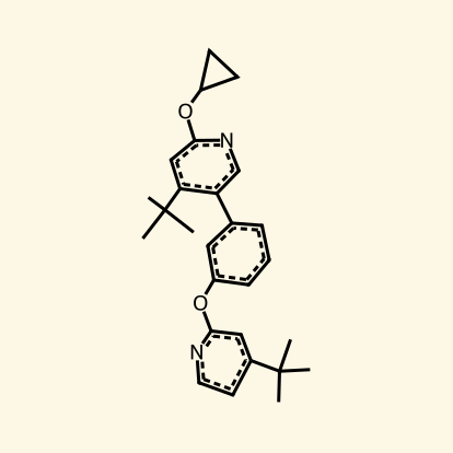 CC(C)(C)c1ccnc(Oc2cccc(-c3cnc(OC4CC4)cc3C(C)(C)C)c2)c1